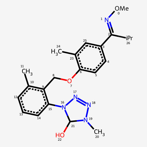 CON=C(c1ccc(OCc2c(C)cccc2N2N=NN(C)C2O)c(C)c1)C(C)C